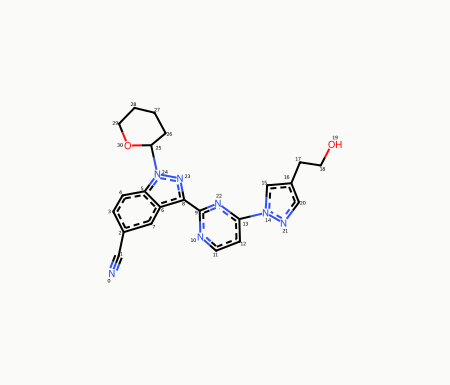 N#Cc1ccc2c(c1)c(-c1nccc(-n3cc(CCO)cn3)n1)nn2C1CCCCO1